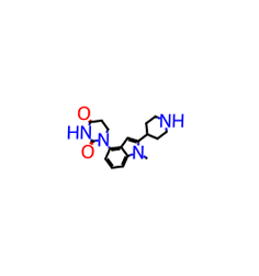 Cn1c(C2CCNCC2)cc2c(N3CCC(=O)NC3=O)cccc21